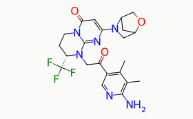 Cc1c(C(=O)CN2c3nc(N4CC5CC4CO5)cc(=O)n3CC[C@H]2C(F)(F)F)cnc(N)c1C